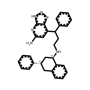 Nc1cc(C(CCN[C@@H]2C[C@@H](c3ccccc3)Cc3ccccc32)c2ccccc2)c2nn[nH]c2n1